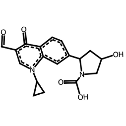 O=Cc1cn(C2CC2)c2cc(C3CC(O)CN3C(=O)O)ccc2c1=O